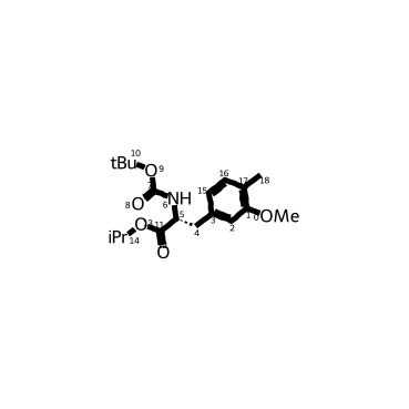 COc1cc(C[C@@H](NC(=O)OC(C)(C)C)C(=O)OC(C)C)ccc1C